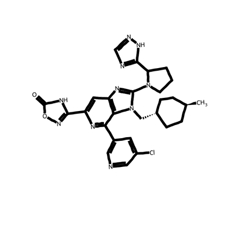 C[C@H]1CC[C@H](Cn2c(N3CCCC3c3ncn[nH]3)nc3cc(-c4noc(=O)[nH]4)nc(-c4cncc(Cl)c4)c32)CC1